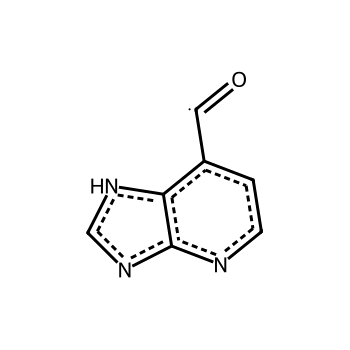 O=[C]c1ccnc2nc[nH]c12